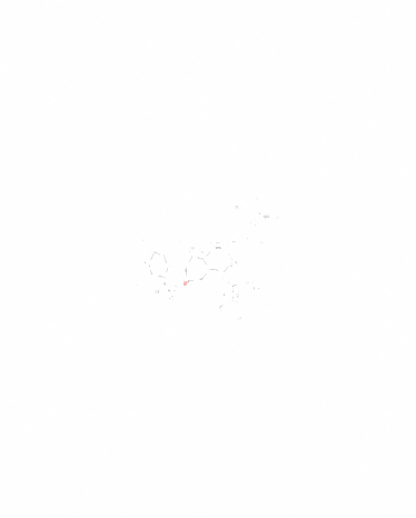 Cc1nc(N)c(F)c(-c2c(F)cc3c(N4C[C@H]5CC[C@@H](C4)N5)nc(OC[C@@]45CCCN4C[C@H](F)C5)nc3c2F)c1C(F)(F)F